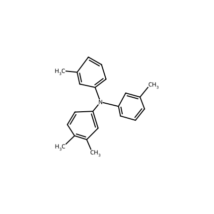 Cc1cccc(N(c2cccc(C)c2)c2ccc(C)c(C)c2)c1